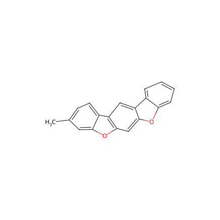 Cc1ccc2c(c1)oc1cc3oc4ccccc4c3cc12